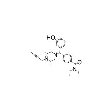 CC#CCN1[C@H](C)CN(C(c2ccc(C(=O)N(CC)CC)cc2)c2cccc(O)c2)C[C@@H]1C